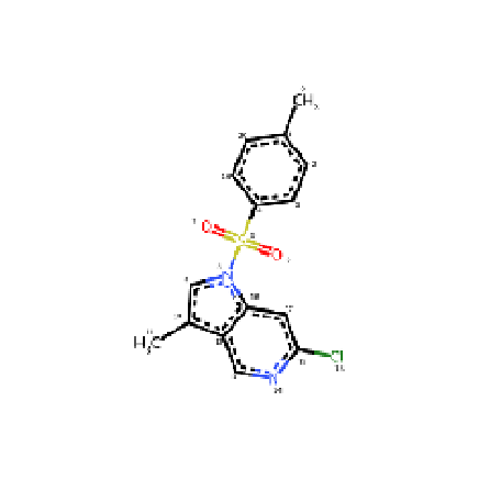 Cc1ccc(S(=O)(=O)n2cc(C)c3cnc(Cl)cc32)cc1